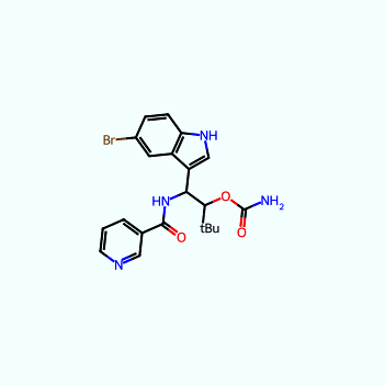 CC(C)(C)C(OC(N)=O)C(NC(=O)c1cccnc1)c1c[nH]c2ccc(Br)cc12